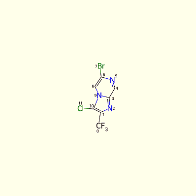 FC(F)(F)c1nc2cnc(Br)cn2c1Cl